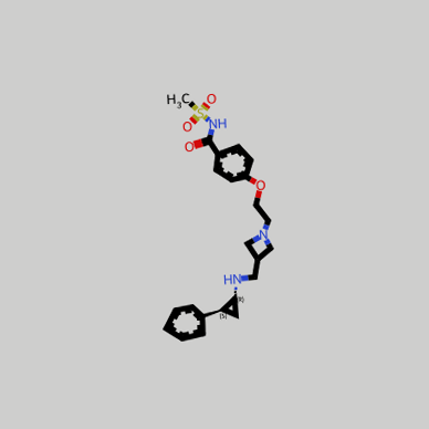 CS(=O)(=O)NC(=O)c1ccc(OCCN2CC(CN[C@@H]3C[C@H]3c3ccccc3)C2)cc1